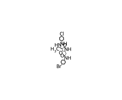 CC(NNc1ccc(Cl)cc1)=C1C(=O)NC(CC(=O)Nc2ccc(Br)cc2)C1=O